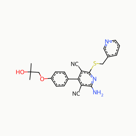 CC(C)(O)COc1ccc(-c2c(C#N)c(N)nc(SCc3cccnc3)c2C#N)cc1